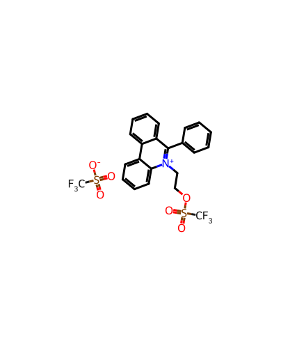 O=S(=O)(OCC[n+]1c(-c2ccccc2)c2ccccc2c2ccccc21)C(F)(F)F.O=S(=O)([O-])C(F)(F)F